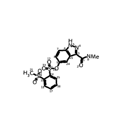 CNC(=O)c1n[nH]c2ccc(OS(=O)(=O)c3ccccc3S(C)(=O)=O)cc12